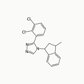 CC1CC(n2cnnc2-c2cccc(Cl)c2Cl)c2ccccc21